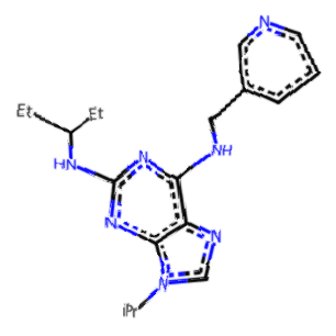 CCC(CC)Nc1nc(NCc2cccnc2)c2ncn(C(C)C)c2n1